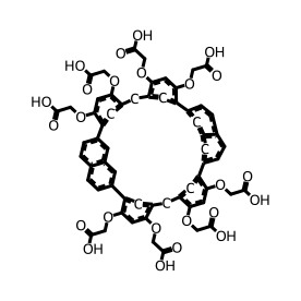 O=C(O)COc1cc(OCC(=O)O)c2cc1Cc1cc(c(OCC(=O)O)cc1OCC(=O)O)-c1ccc3ccc(cc3c1)-c1cc(c(OCC(=O)O)cc1OCC(=O)O)Cc1cc(c(OCC(=O)O)cc1OCC(=O)O)-c1ccc3ccc-2cc3c1